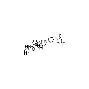 [2H]C1([2H])CCN(C2CCN(Cc3ccc(F)cc3Cl)CC2)CCN1c1cccc(C(=O)Nc2ccncc2)n1